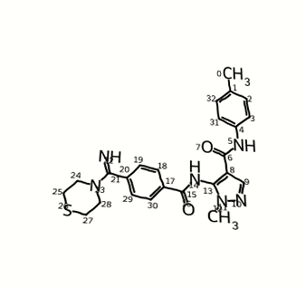 Cc1ccc(NC(=O)c2cnn(C)c2NC(=O)c2ccc(C(=N)N3CCSCC3)cc2)cc1